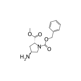 COC(=O)[C@H]1C[C@H](N)CN1C(=O)OCc1ccccc1